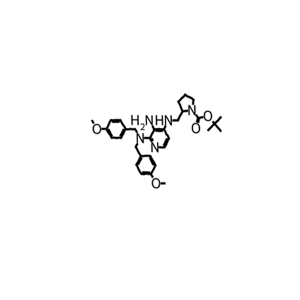 COc1ccc(CN(Cc2ccc(OC)cc2)c2nccc(NCC3CCCN3C(=O)OC(C)(C)C)c2N)cc1